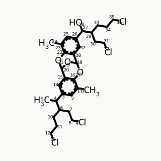 Cc1cc(C(C)C(CCCl)CCCCl)cc2c1OC1OC2Oc2c(C)cc(C(O)C(CCCl)CCCCl)cc21